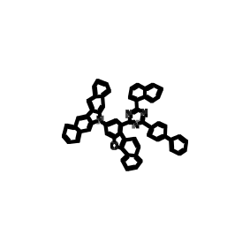 c1ccc(-c2ccc(-c3nc(-c4cccc5ccccc45)nc(-c4cc(-n5c6cc7ccccc7cc6c6cc7ccccc7cc65)cc5oc6c7ccccc7ccc6c45)n3)cc2)cc1